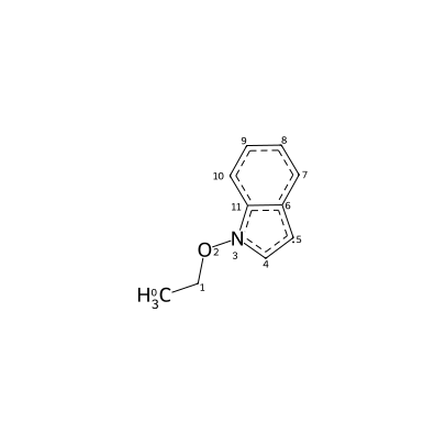 CCOn1c[c]c2ccccc21